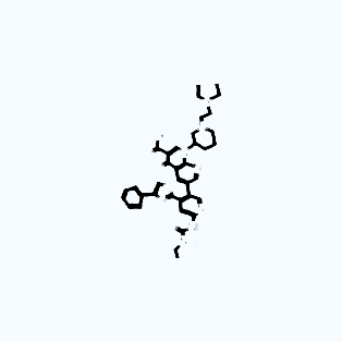 CCNC(=O)Nc1cc(-c2nc(-c3ccccc3)cs2)c(-c2cnc3c(c2)c(=O)c(C(=O)O)cn3C2CCCN(CCN(CC)CC)C2)cn1